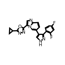 Fc1ccc(-c2n[nH]cc2-c2ccc3ncc(-c4nnc(C5CC5)o4)n3c2)c(F)c1